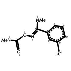 CNC(=O)ON=C(NC)c1cccc(Cl)c1